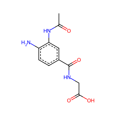 CC(=O)Nc1cc(C(=O)NCC(=O)O)ccc1N